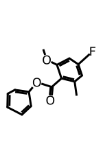 COc1cc(F)cc(C)c1C(=O)Oc1ccccc1